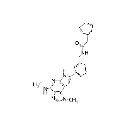 CNc1nc2[nH]c(-c3cccc(CNC(=O)Cc4ccccc4)c3)cc2c2c1ncn2C